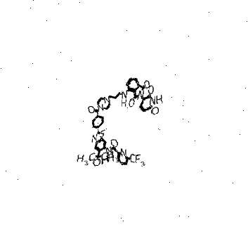 CC(C)(O)c1cc2nc([C@H]3CC[C@H](C(=O)N4CCN(CCCNc5cccc6c5C(=O)N(C5CCC(=O)NC5=O)C6=O)CC4)CC3)sc2cc1NC(=O)c1cccc(C(F)(F)F)n1